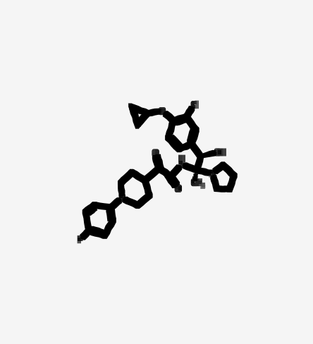 C[C@](NC(=O)C(=O)C1CCN(c2ccc(F)cc2)CC1)([C@H](O)c1ccc(OC2CC2)c(Cl)c1)N1CCCC1